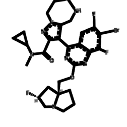 CN(C(=O)c1nn2c(c1-c1nc(OC[C@@]34CCCN3C[C@H](F)C4)nc3c(F)c(Br)c(F)cc13)CNCCC2)C1CC1